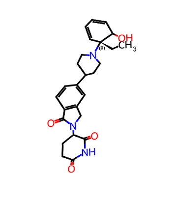 CC[C@@]1(N2CCC(c3ccc4c(c3)CN(C3CCC(=O)NC3=O)C4=O)CC2)C=CC=CC1O